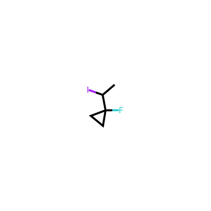 CC(I)C1(F)CC1